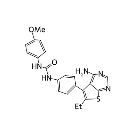 CCc1sc2ncnc(N)c2c1-c1ccc(NC(=O)Nc2ccc(OC)cc2)cc1